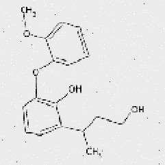 COc1ccccc1Oc1cccc(C(C)CCO)c1O